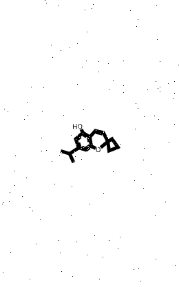 CC(C)c1cc(O)c2c(c1)OC1(C=C2)CCC1